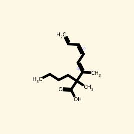 C=C/C=C\C=C(/C)C(C)(CCCC)C(=O)O